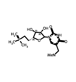 C=P(C)(C)CC[C@H]1OC(n2cc(CNC)c(=O)[nH]c2=O)[C@H](O)[C@@H]1O